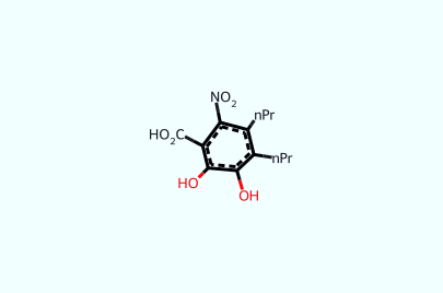 CCCc1c(O)c(O)c(C(=O)O)c([N+](=O)[O-])c1CCC